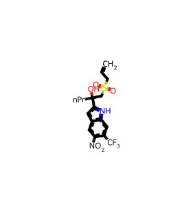 C=CCS(=O)(=O)CC(O)(CCC)c1cc2cc([N+](=O)[O-])c(C(F)(F)F)cc2[nH]1